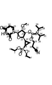 CCOP(=O)(OCC)C1CC1[C@H]1O[C@@H](n2ccc(=O)[nH]c2=O)[C@H](OC)[C@@H]1OP(OCCC#N)N(C(C)C)C(C)C